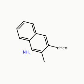 CCCCCCc1cc2ccccc2cc1C.N